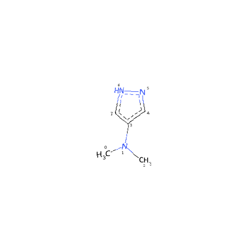 CN(C)c1cn[nH]c1